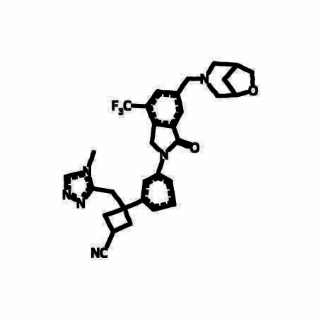 Cn1cnnc1CC1(c2cccc(N3Cc4c(cc(CN5CC6COC(C6)C5)cc4C(F)(F)F)C3=O)c2)CC(C#N)C1